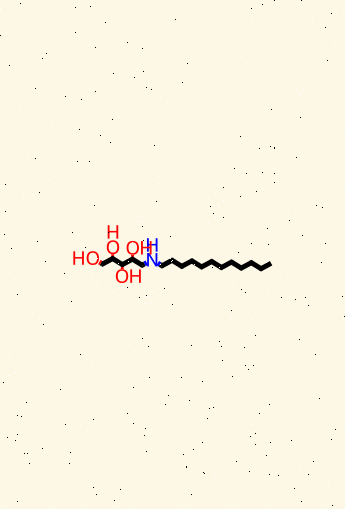 CCCCCCCCCCCCNC[C@H](O)[C@@H](O)[C@H](O)CO